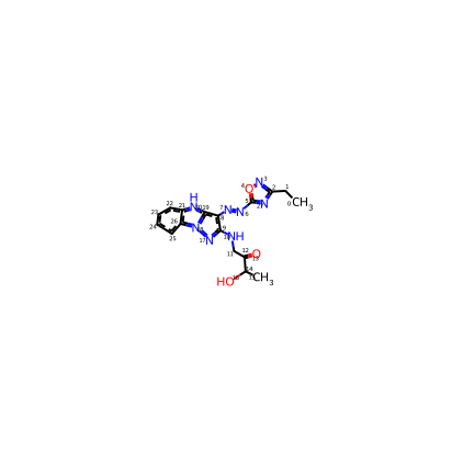 CCc1noc(/N=N/c2c(NCC(=O)C(C)O)nn3c2[nH]c2ccccc23)n1